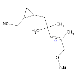 CCCCOC/C(C)=C/C(C)(C)CC1CC1CC#N